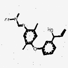 C=CC(O)c1cccc(Oc2cc(C)c(/N=C/N(C)CC)cc2C)c1